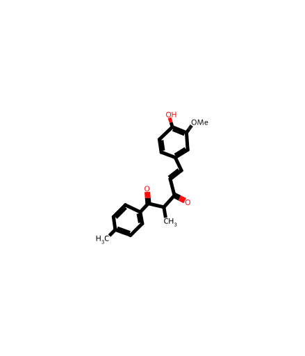 COc1cc(C=CC(=O)C(C)C(=O)c2ccc(C)cc2)ccc1O